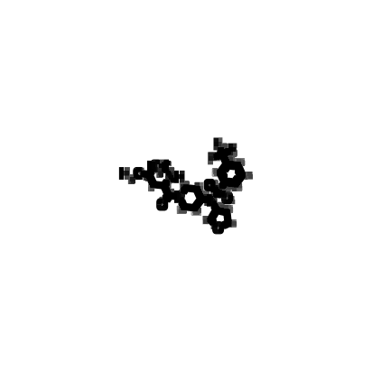 CNC(CC(C)C)C(=O)N1CCC(N(C2CCOC2)S(=O)(=O)c2cccc(C(F)(F)F)c2)CC1